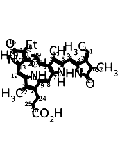 C/C=C1\C(=C\c2[nH]c(/C=c3\[nH]/c(=C\C4=NC(=O)C(CC)=C4C)c(C)c3CCC(=O)O)c(CCC(=O)O)c2C)NC(=O)[C@@H]1C